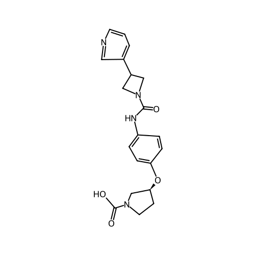 O=C(O)N1CC[C@H](Oc2ccc(NC(=O)N3CC(c4cccnc4)C3)cc2)C1